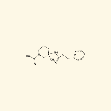 CC1(NC(=O)OCc2ccccc2)CCCN(C(=O)O)C1